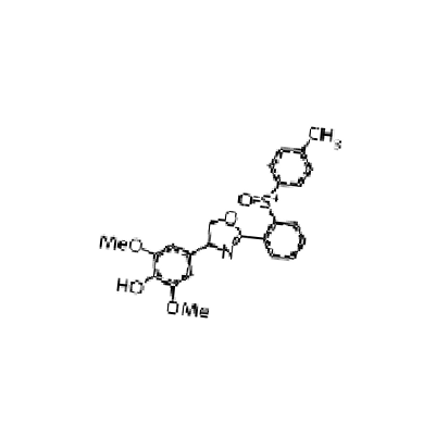 COc1cc(C2COC(c3ccccc3[S@@+]([O-])c3ccc(C)cc3)=N2)cc(OC)c1O